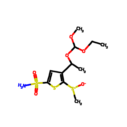 CCOC(OC)OC(C)c1cc(S(N)(=O)=O)sc1[S+](C)[O-]